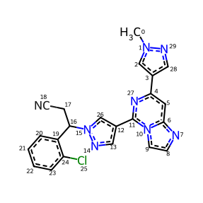 Cn1cc(-c2cc3nccn3c(-c3cnn(C(CC#N)c4ccccc4Cl)c3)n2)cn1